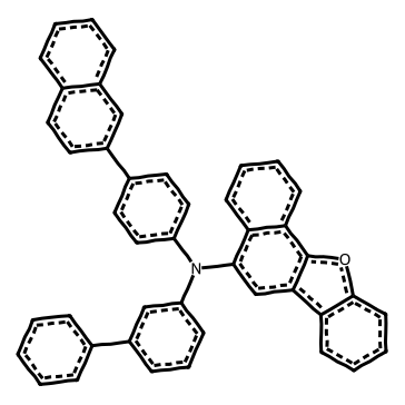 c1ccc(-c2cccc(N(c3ccc(-c4ccc5ccccc5c4)cc3)c3cc4c5ccccc5oc4c4ccccc34)c2)cc1